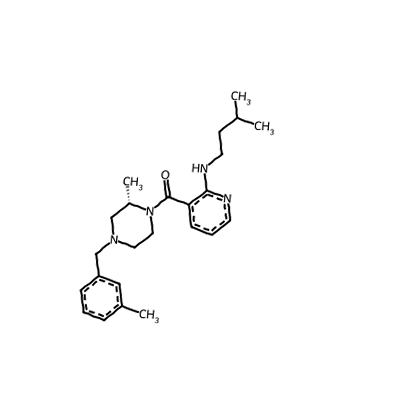 Cc1cccc(CN2CCN(C(=O)c3cccnc3NCCC(C)C)[C@@H](C)C2)c1